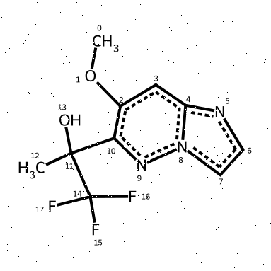 COc1cc2nccn2nc1C(C)(O)C(F)(F)F